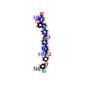 N#Cc1ccc(OC2CCC(NC(=O)c3ccc(N4CCN(CC(=O)N5CCC(n6ccc7c(N8CCC(=O)NC8=O)cccc76)CC5)CC4)nn3)CC2)cc1Cl